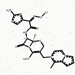 CCO/N=C(\C(=O)N[C@@H]1C(=O)N2C(C(=O)[O-])=C(Cn3cc[n+]4cccc-4c3C)CS[C@H]12)c1csc(N)n1